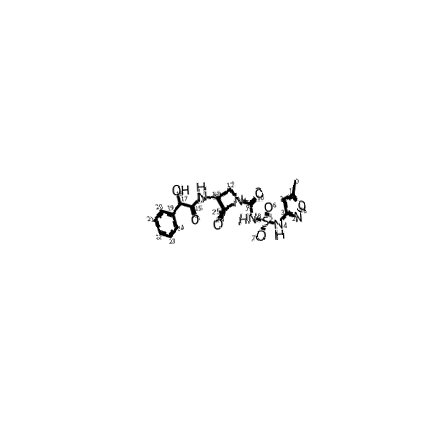 Cc1cc(NS(=O)(=O)NC(=O)N2C[C@H](NC(=O)C(O)c3ccccc3)C2=O)no1